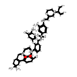 CC1(C)CCC(CN2CCN(c3cccc(C(=O)NS(=O)(=O)c4ccc(NCC5CN(C(CF)CF)CCO5)c([N+](=O)[O-])c4)c3Oc3cnc(N)c(Cl)c3)CC2)=C(c2ccc(Cl)cc2)C1